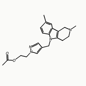 CC(=O)OCCn1cc(Cn2c3c(c4cc(C)ccc42)CN(C)CC3)cn1